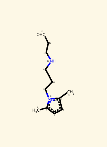 Cc1ccc(C)n1CCCNCCC=O